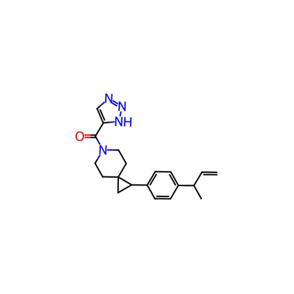 C=CC(C)c1ccc(C2CC23CCN(C(=O)c2cnn[nH]2)CC3)cc1